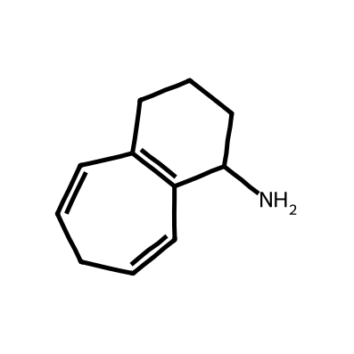 NC1CCCC2=C1C=CCC=C2